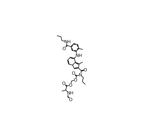 CCCNC(=O)c1ccc(C)c(NC2=CC=CC3C=C(C(=O)N(CCC)C(=O)OCOC(=O)C(C)NC=O)C(C)=C23)c1